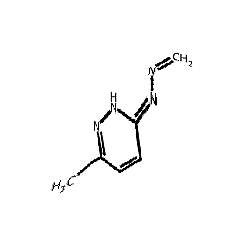 C=N/N=c1/ccc(C)n[nH]1